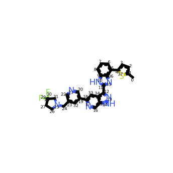 Cc1ccc(-c2cccc3[nH]c(-c4n[nH]c5cnc(-c6cncc(CN7CCC(F)(F)C7)c6)cc45)nc23)s1